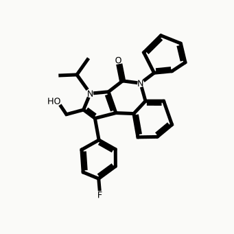 CC(C)n1c(CO)c(-c2ccc(F)cc2)c2c3ccccc3n(-c3ccccc3)c(=O)c21